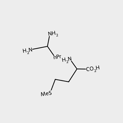 CCCC(N)N.CSCCC(N)C(=O)O